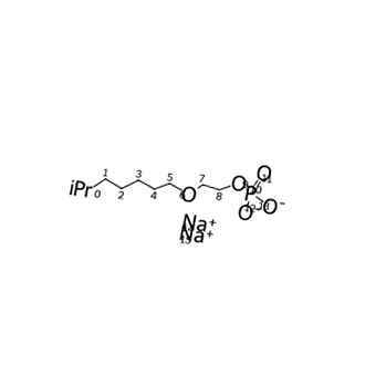 CC(C)CCCCCOCCOP(=O)([O-])[O-].[Na+].[Na+]